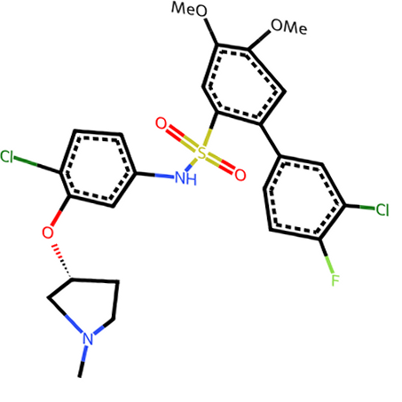 COc1cc(-c2ccc(F)c(Cl)c2)c(S(=O)(=O)Nc2ccc(Cl)c(O[C@@H]3CCN(C)C3)c2)cc1OC